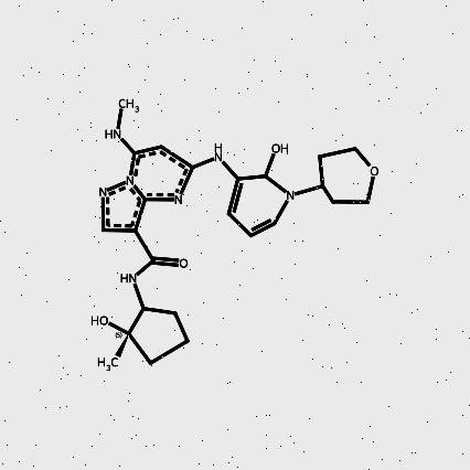 CNc1cc(NC2=CC=CN(C3CCOCC3)C2O)nc2c(C(=O)NC3CCC[C@]3(C)O)cnn12